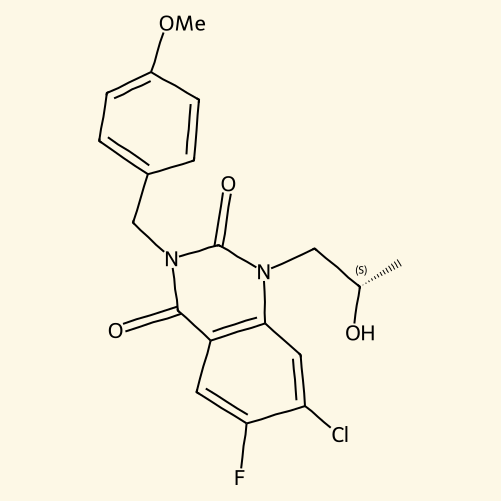 COc1ccc(Cn2c(=O)c3cc(F)c(Cl)cc3n(C[C@H](C)O)c2=O)cc1